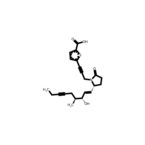 CCC#CC[C@H](C)[C@@H](O)C=C[C@H]1CCC(=O)N1CC#Cc1ccc(C(=O)O)s1